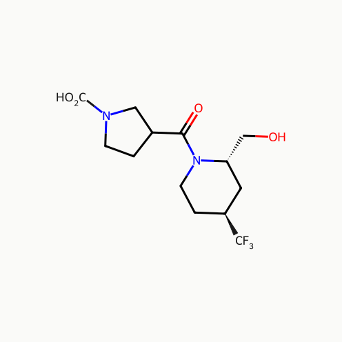 O=C(O)N1CCC(C(=O)N2CC[C@H](C(F)(F)F)C[C@H]2CO)C1